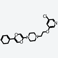 Clc1cncc(OCCN2CCN(C3=COC(C4=CC=CCC4)=CO3)CC2)c1